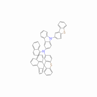 c1ccc2c(c1)Sc1ccc(N(c3ccc4c(c3)c3ccccc3n4-c3ccc4sc5ccccc5c4c3)c3cccc4ccccc34)cc1C21c2ccccc2-c2cccc3cccc1c23